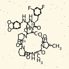 C[C@@H]1C[C@H]2C(=O)OC[C@H](NC(=O)[C@H](Cc3cc(F)cc(F)c3)NC(=O)Nc3ccc4c(c3)OCO4)C(=O)N3CCC[C@H]3C(=O)N3CCCC[C@H]3C(=O)N[C@@H](C)C(=O)N2C1